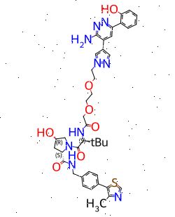 Cc1ncsc1-c1ccc(CNC(=O)[C@@H]2C[C@@H](O)CN2C(=O)[C@@H](NC(=O)COCCOCCn2cc(-c3cc(-c4ccccc4O)nnc3N)cn2)C(C)(C)C)cc1